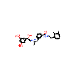 Cc1cccc(CCNC(=O)c2cccc(CC(C)NCC(O)c3cc(O)cc(O)c3)c2)c1C